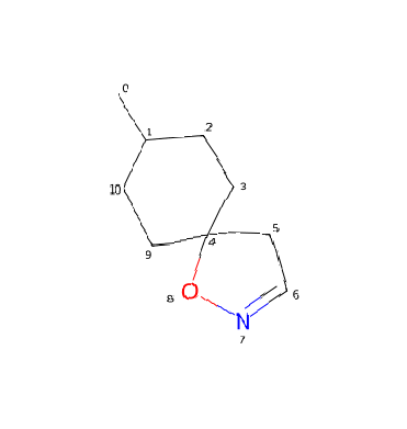 CC1CCC2(CC=NO2)CC1